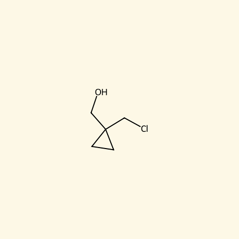 OCC1(CCl)CC1